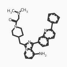 CN(C)CC(=O)N1CCC(Cc2nc(-c3ccc4ccc(-c5ccccc5)nc4c3)c3c(N)cccn23)CC1